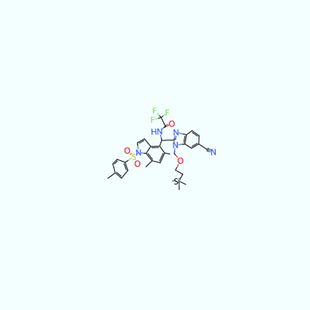 Cc1ccc(S(=O)(=O)n2ccc3c(C(NC(=O)C(F)(F)F)c4nc5ccc(C#N)cc5n4COCC[Si](C)(C)C)c(C)cc(C)c32)cc1